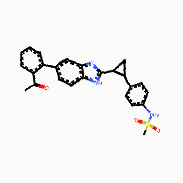 CC(=O)c1ccccc1-c1ccc2[nH]c(C3CC3c3ccc(NS(C)(=O)=O)cc3)nc2c1